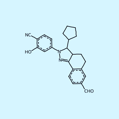 N#Cc1ccc(N2N=C3c4ccc(C=O)cc4CCC3C2C2CCCC2)cc1O